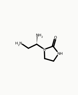 NC[C@H](N)N1CCNC1=O